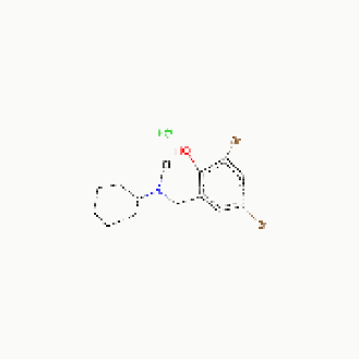 CCN(Cc1cc(Br)cc(Br)c1O)C1CCCCC1.Cl